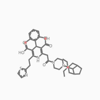 CCN(CC)C1C2CCC1CC(N1CCN(C(=O)CC3=C(C(=O)O)C(c4c(Cl)cccc4Cl)C(C(=O)O)=C(CCc4nccs4)N3)CC1)C2